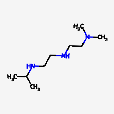 CC(C)NCCNCCN(C)C